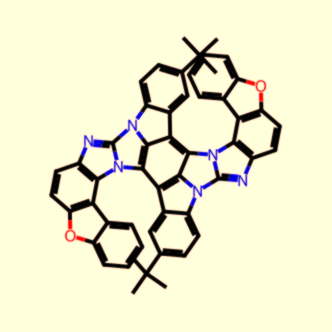 CC(C)(C)c1ccc2c(c1)c1c3c(c4c5cc(C(C)(C)C)ccc5n5c4c1n1c4c(ccc6oc7ccccc7c64)nc51)n1c4c(ccc5oc6ccccc6c54)nc1n23